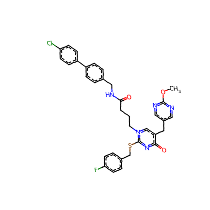 COc1ncc(Cc2cn(CCCC(=O)NCc3ccc(-c4ccc(Cl)cc4)cc3)c(SCc3ccc(F)cc3)nc2=O)cn1